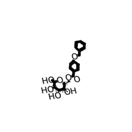 O=C(OC[C@H]1OC(O)[C@H](O)[C@@H](O)[C@H]1O)c1ccc(OCc2ccccc2)cc1